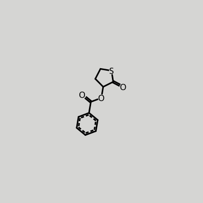 O=C(OC1CCSC1=O)c1ccccc1